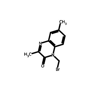 Cc1ccc2c(c1)nc(C)c(=O)n2CBr